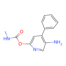 CNC(=O)Oc1cc(-c2ccccc2)c(N)cn1